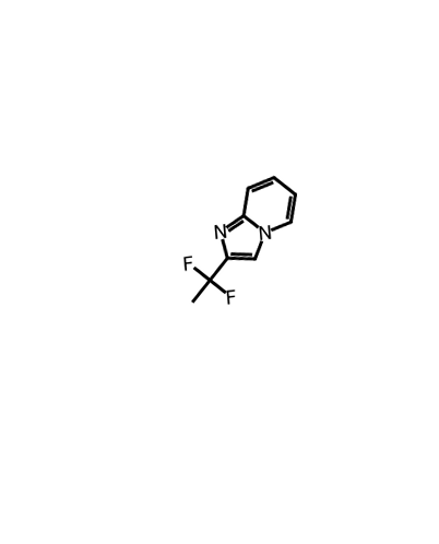 CC(F)(F)c1cn2ccccc2n1